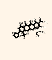 CCN(C)[C@@H]1C(O)=C(C(N)=O)C(=O)C2C(O)=C3C(=O)c4c(O)cc(C5CCCN5)c(C(F)(F)F)c4CC3CC21